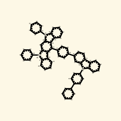 c1ccc(-c2ccc(-n3c4ccccc4c4ccc(-c5ccc(-c6c7c8ccccc8n(-c8ccccc8)c7cc7c6c6ccccc6n7-c6ccccc6)cc5)cc43)cc2)cc1